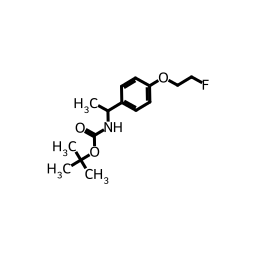 CC(NC(=O)OC(C)(C)C)c1ccc(OCCF)cc1